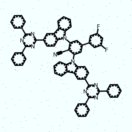 N#Cc1c(-n2c3ccccc3c3cc(-c4nc(-c5ccccc5)nc(-c5ccccc5)n4)ccc32)cc(-c2cc(F)cc(F)c2)cc1-n1c2ccccc2c2cc(-c3nc(-c4ccccc4)nc(-c4ccccc4)n3)ccc21